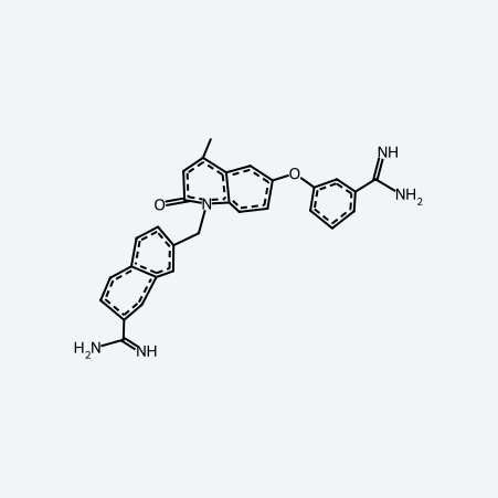 Cc1cc(=O)n(Cc2ccc3ccc(C(=N)N)cc3c2)c2ccc(Oc3cccc(C(=N)N)c3)cc12